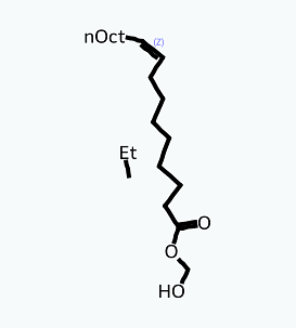 CCC.CCCCCCCC/C=C\CCCCCCCC(=O)OCO